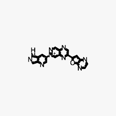 c1cnc2oc(-c3cnc4cn[n+](-c5cnc6cn[nH]c6c5)cc4n3)cc2n1